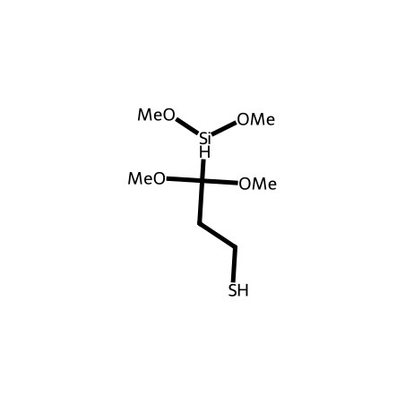 CO[SiH](OC)C(CCS)(OC)OC